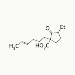 CC=CCCCC1(C(=O)O)CCC(CC)C1=O